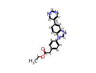 CCOC(=O)Cc1ccc(-n2cnc3cc(-c4cncnc4)ccc32)cc1